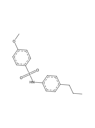 CCCc1ccc(NS(=O)(=O)c2ccc(OC)cc2)cc1